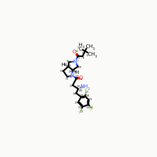 CC(C)(C)CC(=O)N1C[C@@H]2CCN(C(=O)C[C@H](N)Cc3cc(F)c(F)cc3F)[C@@H]2C1